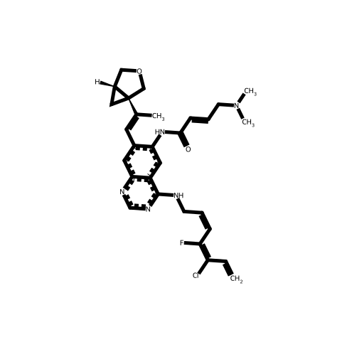 C=C/C(Cl)=C(F)\C=C/CNc1ncnc2cc(/C=C(\C)[C@]34COC[C@H]3C4)c(NC(=O)/C=C/CN(C)C)cc12